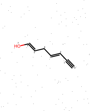 C#CC=CCC=CO